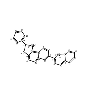 C1=CC2=CC=C(c3ccc4c5c(ccc4c3)SC(c3ccccc3)N5)NC2C=C1